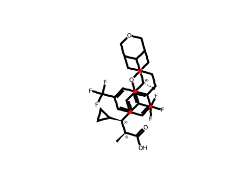 C[C@H](C(=O)O)[C@H](c1ccc2c(c1)OC(C1C3COCC1CN([C@H](C)c1cc(C(F)(F)F)ccc1C(F)(F)F)C3)CC2)C1CC1